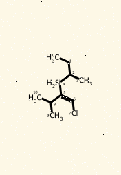 CCC(C)[SiH2]C(=CCl)C(C)C